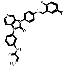 C=CC(=O)Nc1cccc(-n2c(=O)n(-c3ccc(OCc4cc(F)ccc4F)cc3)c3cnccc32)c1